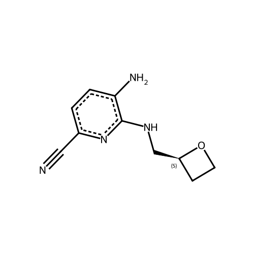 N#Cc1ccc(N)c(NC[C@@H]2CCO2)n1